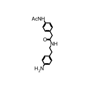 CC(=O)Nc1ccc(CC(=O)NCCc2ccc(N)cc2)cc1